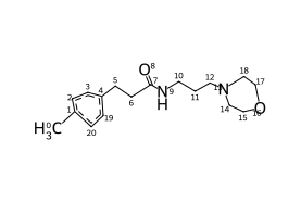 Cc1ccc(CCC(=O)NCCCN2CCOCC2)cc1